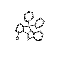 Clc1cccc2c1-c1sc3ccccc3c1C2(c1ccccc1)c1ccccc1